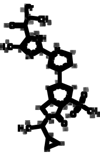 Cc1nc(-c2cc(-c3cc4c(c(S(C)(=O)=O)c3)C(=O)N(C(C)C3CC3)C4)ccn2)[nH]c1C(=O)N(C)C(C)C